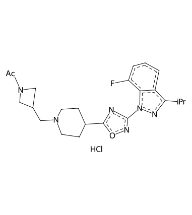 CC(=O)N1CC(CN2CCC(c3nc(-n4nc(C(C)C)c5cccc(F)c54)no3)CC2)C1.Cl